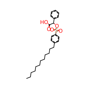 CCCCCCCCCCCCc1ccc(S(=O)(=O)OC(C(=O)O)c2ccccc2)cc1